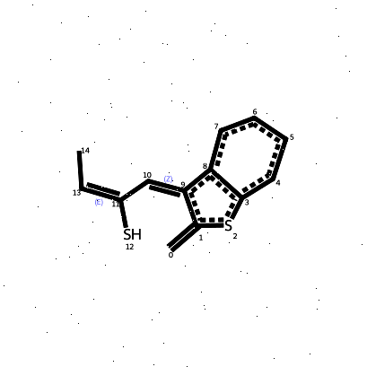 C=c1sc2ccccc2/c1=C/C(S)=C\C